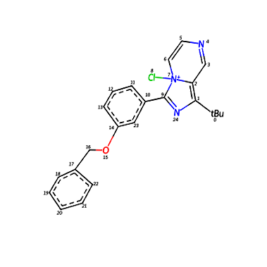 CC(C)(C)C1=C2C=NC=C[N+]2(Cl)C(c2cccc(OCc3ccccc3)c2)=N1